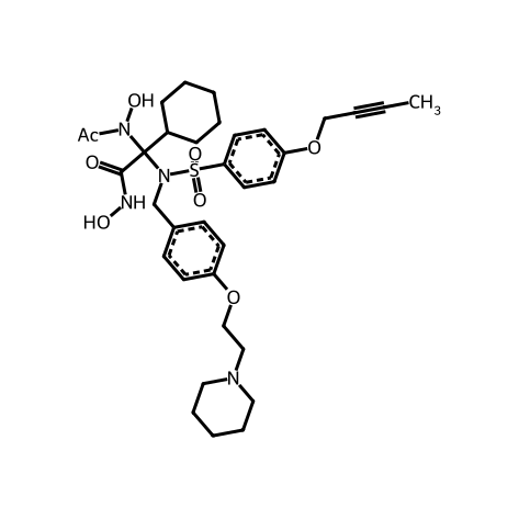 CC#CCOc1ccc(S(=O)(=O)N(Cc2ccc(OCCN3CCCCC3)cc2)C(C(=O)NO)(C2CCCCC2)N(O)C(C)=O)cc1